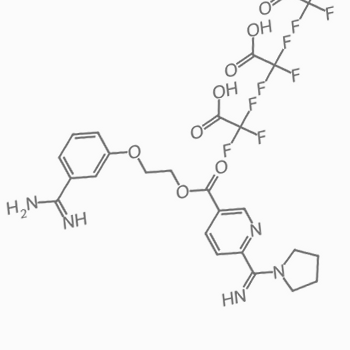 N=C(N)c1cccc(OCCOC(=O)c2ccc(C(=N)N3CCCC3)nc2)c1.O=C(O)C(F)(F)F.O=C(O)C(F)(F)F.O=C(O)C(F)(F)F